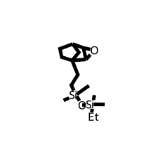 CC[Si](C)(C)O[Si](C)(C)CCC12CCC(C1)C1OC12